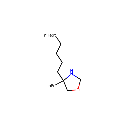 CCCCCCCCCCCC1(CCC)COCN1